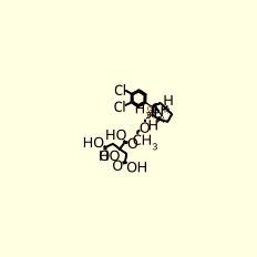 CCOC[C@@H]1[C@@H](c2ccc(Cl)c(Cl)c2)C[C@@H]2CC[C@H]1N2C.O=C(O)CC(O)(CC(=O)O)C(=O)O